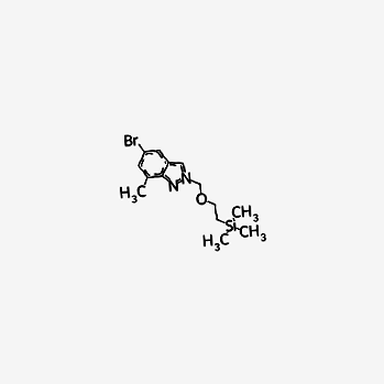 Cc1cc(Br)cc2cn(COCC[Si](C)(C)C)nc12